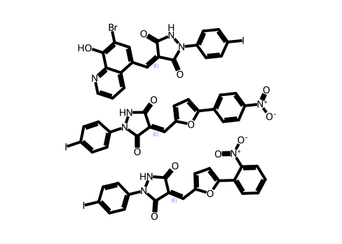 O=C1NN(c2ccc(I)cc2)C(=O)/C1=C/c1cc(Br)c(O)c2ncccc12.O=C1NN(c2ccc(I)cc2)C(=O)/C1=C/c1ccc(-c2ccc([N+](=O)[O-])cc2)o1.O=C1NN(c2ccc(I)cc2)C(=O)/C1=C/c1ccc(-c2ccccc2[N+](=O)[O-])o1